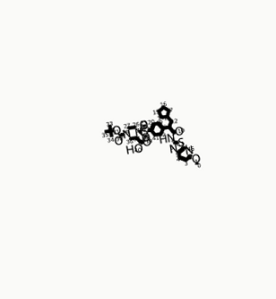 COc1ccc2nc(NC(=O)C(CC3CCCC3)C3=CC=C(S(=O)(=O)N4CCN(C(=O)OC(C)(C)C)CC4C(=O)O)CC3)sc2n1